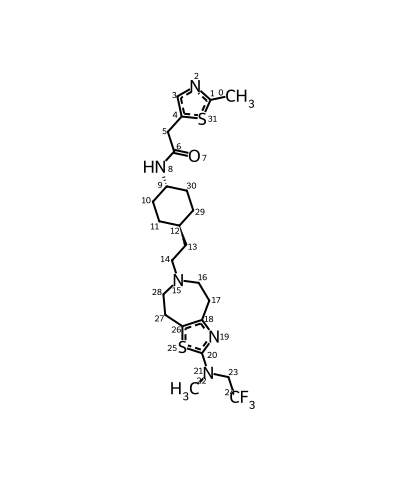 Cc1ncc(CC(=O)N[C@H]2CC[C@H](CCN3CCc4nc(N(C)CC(F)(F)F)sc4CC3)CC2)s1